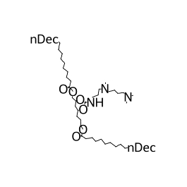 CCCCCCCCCCCCCCCCCCCC(=O)OCCCC(CCCOC(=O)CCCCCCCCCCCCCCCCCCC)OC(=O)NCCCN(C)CCCCN(C)C